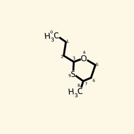 CCCC1OCCC(C)S1